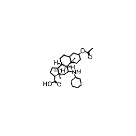 CC(=O)OC1CC[C@@]2(C)C(CC[C@@H]3[C@H]2C(NC2CCCCC2)C[C@]2(C)C(C(=O)O)CC[C@@H]32)C1